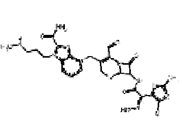 CNCCCn1c(C(N)=O)nc2c1ccc[n+]2CC1=C(C=O)N2C(=O)C(NC(=O)/C(=N\O)c3nc(N)sc3Cl)C2SC1